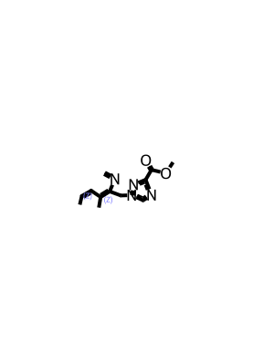 C=N/C(Cn1cnc(C(=O)OC)n1)=C(C)\C=C/C